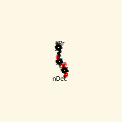 CCCCCCCCCCCOc1ccc(C(=O)Oc2ccc(OCCCC3CCC(CCC)CC3)cc2)cc1